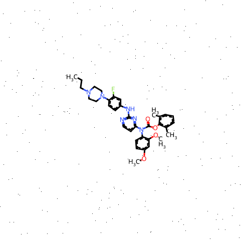 CCCN1CCN(c2ccc(Nc3nccc(N(C(=O)Oc4c(C)cccc4C)c4ccc(OC)cc4OC)n3)cc2F)CC1